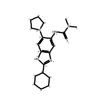 CN(C)C(=S)Nc1cc2nc(C3CCCCC3)[nH]c2cc1N1CCCC1